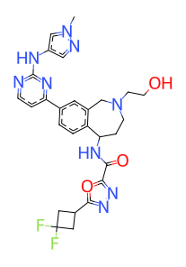 Cn1cc(Nc2nccc(-c3ccc4c(c3)CN(CCO)CCC4NC(=O)c3nnc(C4CC(F)(F)C4)o3)n2)cn1